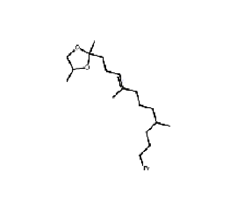 C/C(=C\CCC1(C)OCC(C)O1)CCCC(C)CCCC(C)C